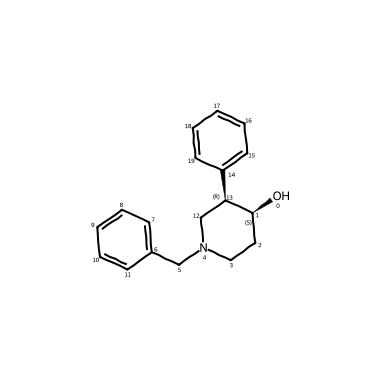 O[C@H]1CCN(Cc2ccccc2)C[C@H]1c1ccccc1